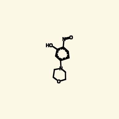 O=Nc1ccc(N2CCOCC2)cc1O